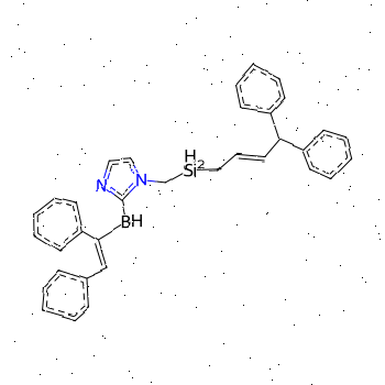 B(C(=Cc1ccccc1)c1ccccc1)c1nccn1C[SiH2]CC=CC(c1ccccc1)c1ccccc1